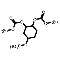 CC(C)(C)OC(=O)OC1CCC(OC(=O)O)CC1OC(=O)OC(C)(C)C